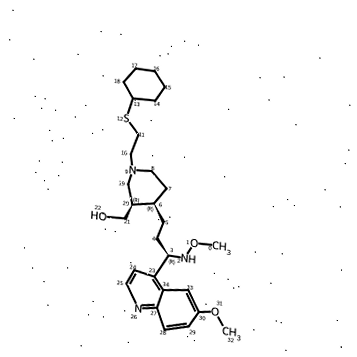 CON[C@H](CC[C@@H]1CCN(CCSC2CCCCC2)C[C@@H]1CO)c1ccnc2ccc(OC)cc12